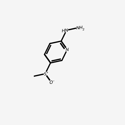 C[S+]([O-])c1ccc(NN)nc1